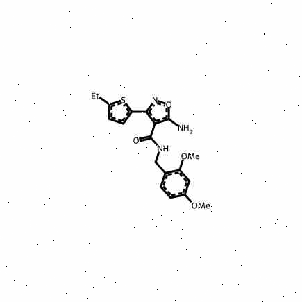 CCc1ccc(-c2noc(N)c2C(=O)NCc2ccc(OC)cc2OC)s1